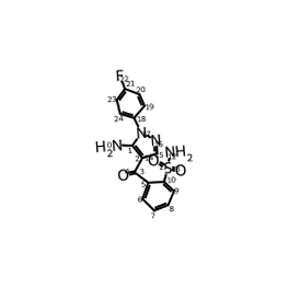 Nc1c(C(=O)c2ccccc2S(N)(=O)=O)cnn1-c1ccc(F)cc1